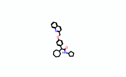 O=C(NC1CCCC1)C(c1ccc(OCc2ccc3ccccc3n2)cc1)C1CCCCCC1